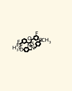 COc1ccc(CN(Cc2ccc(OC)cc2)c2nc(-c3cccc(C(F)(F)F)c3)c(C(=O)c3cccc(F)c3)s2)cc1